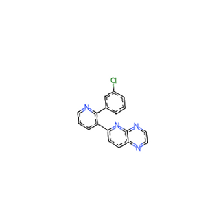 Clc1cccc(-c2ncccc2-c2ccc3nccnc3n2)c1